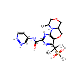 CC1COCC2COc3c(nc(C(=O)Nc4ccnnc4)nc3C(C)(C)S(C)(=O)=O)N12